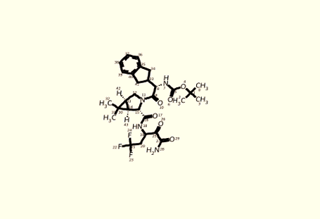 CC(C)(C)OC(=O)N[C@H](C(=O)N1C[C@H]2[C@@H]([C@H]1C(=O)NC(CC(F)(F)F)C(=O)C(N)=O)C2(C)C)C1Cc2ccccc2C1